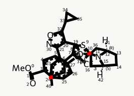 COC(=O)c1ccc(-c2csc(N3[C@@H]4CC[C@H]3C[C@@H](OCc3c(-c5ccccc5OC(F)(F)F)noc3C3CC3)C4)n2)cc1C